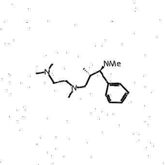 CN[C@@H](c1ccccc1)[C@@H](C)CN(C)CCN(C)C